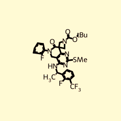 CSc1nc(N[C@H](C)c2cccc(C(F)(F)F)c2F)c2c(n1)C1(CN(C(=O)OC(C)(C)C)C1)C(=O)N(c1ccccc1F)C2